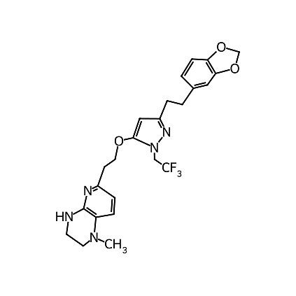 CN1CCNc2nc(CCOc3cc(CCc4ccc5c(c4)OCO5)nn3CC(F)(F)F)ccc21